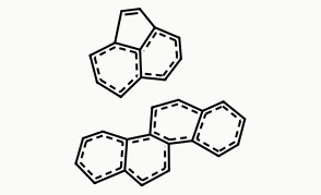 C1=Cc2cccc3cccc1c23.c1ccc2c(c1)ccc1c3ccccc3ccc21